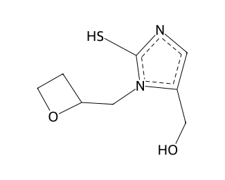 OCc1cnc(S)n1CC1CCO1